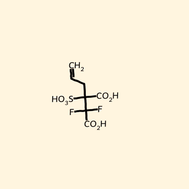 C=CCC(C(=O)O)(C(F)(F)C(=O)O)S(=O)(=O)O